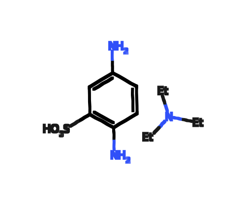 CCN(CC)CC.Nc1ccc(N)c(S(=O)(=O)O)c1